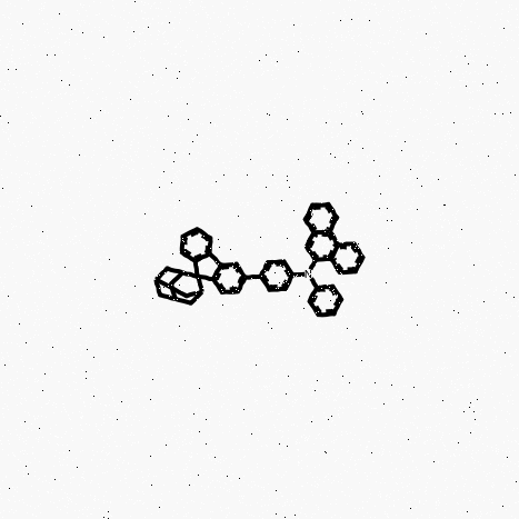 c1ccc(N(c2ccc(-c3ccc4c(c3)-c3ccccc3C43C4CC5CC(C4)CC3C5)cc2)c2cc3ccccc3c3ccccc23)cc1